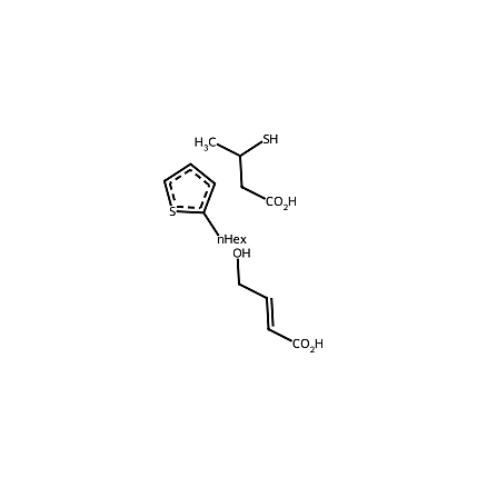 CC(S)CC(=O)O.CCCCCCc1cccs1.O=C(O)C=CCO